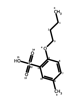 CCCCOc1ccc(C)cc1S(=O)(=O)O